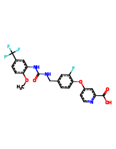 COc1ccc(C(F)(F)F)cc1NC(=O)NCc1ccc(Oc2ccnc(C(=O)O)c2)c(F)c1